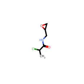 CC(Cl)C(=O)NCC1CO1